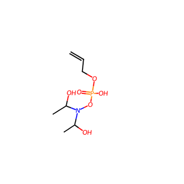 C=CCOP(=O)(O)ON(C(C)O)C(C)O